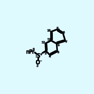 CCC[S+]([O-])c1ccc2cc[c]cc2c1